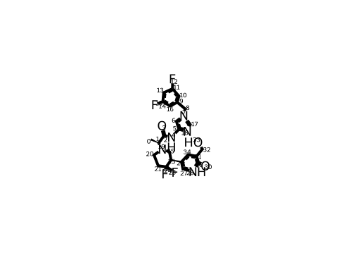 C[C@@H](C(=O)Nc1cn(Cc2cc(F)cc(F)c2)cn1)N1CCC(F)(F)[C@H](c2c[nH]c(=O)c(CO)c2)C1